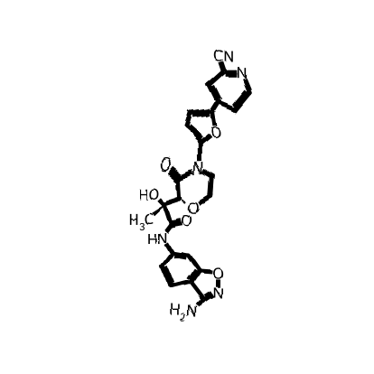 C[C@](O)(C(=O)Nc1ccc2c(N)noc2c1)[C@H]1OCCN(c2ccc(-c3ccnc(C#N)c3)o2)C1=O